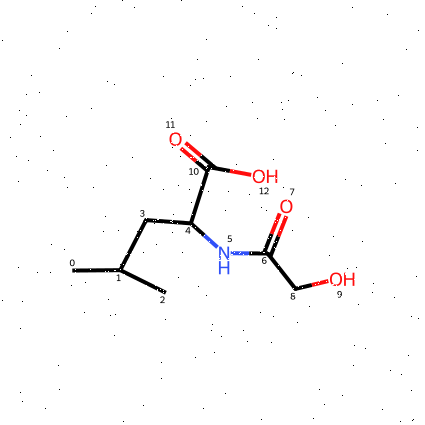 CC(C)CC(NC(=O)CO)C(=O)O